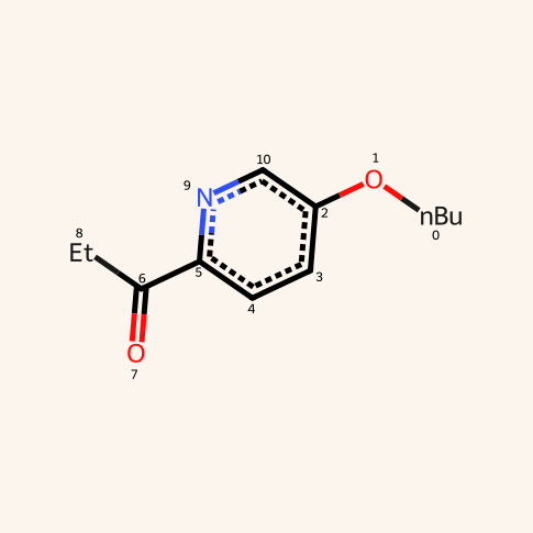 CCCCOc1ccc(C(=O)CC)nc1